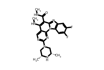 CNC(=O)c1c(NC)c2cnc(N3C[C@@H](C)N[C@@H](C)C3)nc2n2c1nc1cc(F)c(F)cc12